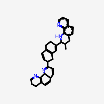 CC1Cc2ccc3cccnc3c2NC1C1=CC2=C(C=CC(C3=NC4C5=C(C=CC4C=C3)CCC=N5)C2)CC1